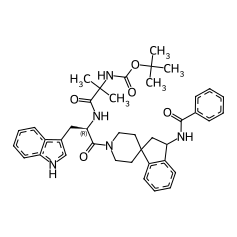 CC(C)(C)OC(=O)NC(C)(C)C(=O)N[C@H](Cc1c[nH]c2ccccc12)C(=O)N1CCC2(CC1)CC(NC(=O)c1ccccc1)c1ccccc12